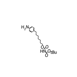 CC(C)(C)OC(=O)NC(=O)OCCCCCCCc1ccc(N)cc1